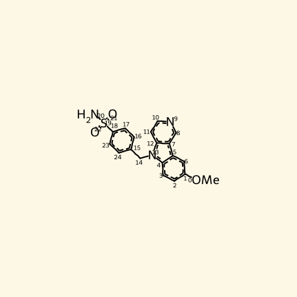 COc1ccc2c(c1)c1cnccc1n2Cc1ccc(S(N)(=O)=O)cc1